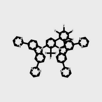 Fc1c(F)c(F)c(-c2ccc(-n3c4ccc(-c5ncccn5)cc4c4cc(-c5ncccn5)ccc43)c(C(F)(F)F)c2-n2c3ccc(-c4ncccn4)cc3c3cc(-c4ncccn4)ccc32)c(F)c1F